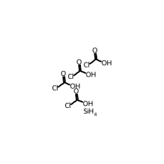 O=C(O)Cl.O=C(O)Cl.O=C(O)Cl.O=C(O)Cl.[SiH4]